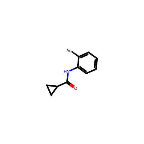 [CH2]C(=O)c1ccccc1NC(=O)C1CC1